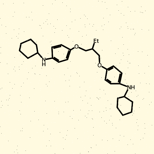 CCC(COc1ccc(NC2CCCCC2)cc1)COc1ccc(NC2CCCCC2)cc1